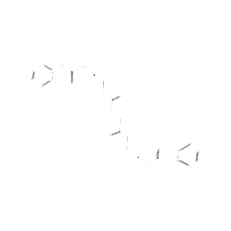 CC(C)(CCC(=O)CCC(=O)CCC(C)(C)CC(=O)Oc1ccccc1)CC(=O)Oc1ccccc1